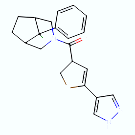 O=C(C1C=C(c2cn[nH]c2)SC1)N1CC2CCC(C1)C2(F)c1ccccc1